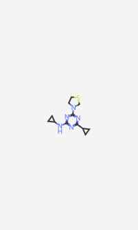 C1CN(c2nc(NC3CC3)nc(C3CC3)n2)CS1